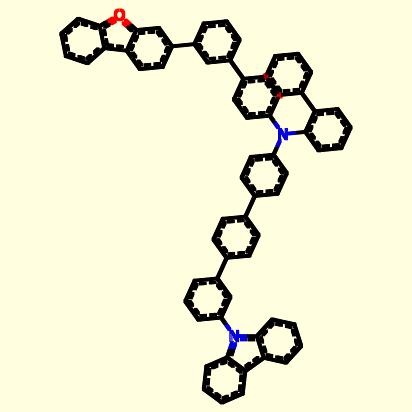 c1ccc(-c2ccccc2N(c2ccc(-c3ccc(-c4cccc(-n5c6ccccc6c6ccccc65)c4)cc3)cc2)c2ccc(-c3cccc(-c4ccc5c(c4)oc4ccccc45)c3)cc2)cc1